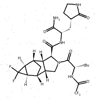 CC(C)(C)[C@H](NC(=O)C(F)(F)F)C(=O)N1C[C@@H]2[C@H]3C[C@@H]([C@@H]2[C@H]1C(=O)N[C@@H](C[C@@H]1CCNC1=O)C(N)=O)[C@H]1[C@@H]3C1(F)F